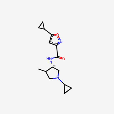 CC1CN(C2CC2)C[C@H]1NC(=O)c1cc(C2CC2)on1